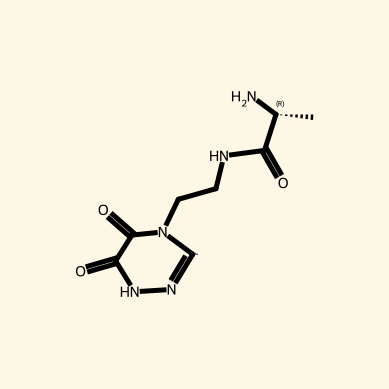 C[C@@H](N)C(=O)NCCn1[c]n[nH]c(=O)c1=O